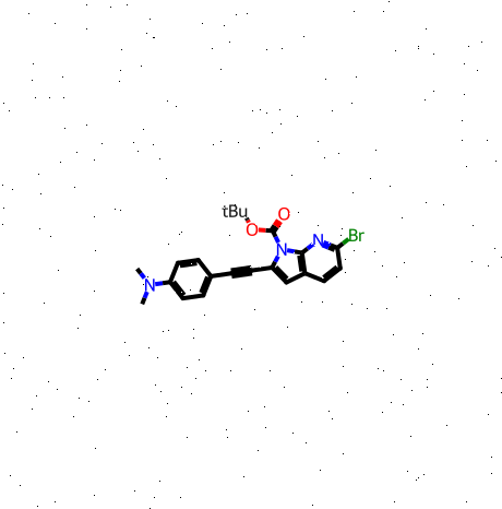 CN(C)c1ccc(C#Cc2cc3ccc(Br)nc3n2C(=O)OC(C)(C)C)cc1